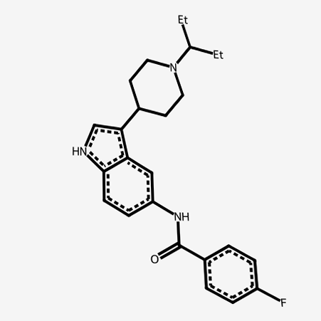 CCC(CC)N1CCC(c2c[nH]c3ccc(NC(=O)c4ccc(F)cc4)cc23)CC1